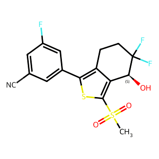 CS(=O)(=O)c1sc(-c2cc(F)cc(C#N)c2)c2c1[C@H](O)C(F)(F)CC2